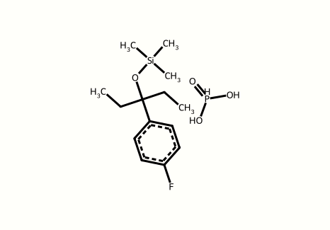 CCC(CC)(O[Si](C)(C)C)c1ccc(F)cc1.O=[PH](O)O